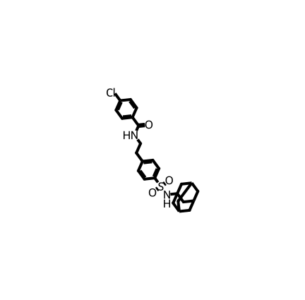 O=C(NCCc1ccc(S(=O)(=O)NC23CC4CC(CC(C4)C2)C3)cc1)c1ccc(Cl)cc1